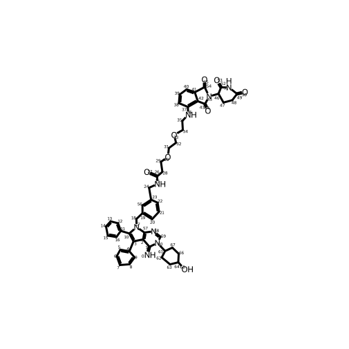 N=c1c2c(-c3ccccc3)c(-c3ccccc3)n(Cc3cccc(CNC(=O)CCOCCOCCNc4cccc5c4C(=O)N(C4CCC(=O)NC4=O)C5=O)c3)c2ncn1C1CCC(O)CC1